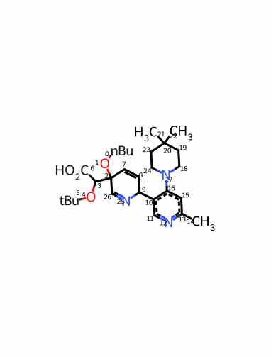 CCCCOC1(C(OC(C)(C)C)C(=O)O)C=CC(c2cnc(C)cc2N2CCC(C)(C)CC2)N=C1